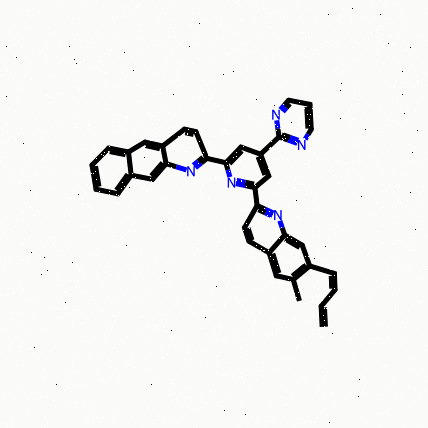 C=C/C=C\c1cc2nc(-c3cc(-c4ncccn4)cc(-c4ccc5cc6ccccc6cc5n4)n3)ccc2cc1C